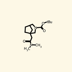 CN(C)C(=O)CC12CCC(CN(C(=O)OC(C)(C)C)C1)C2